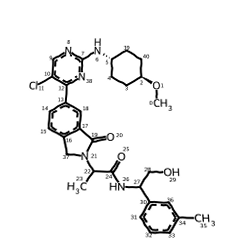 CO[C@H]1CC[C@H](Nc2ncc(Cl)c(-c3ccc4c(c3)C(=O)N(C(C)C(=O)NC(CO)c3cccc(C)c3)C4)n2)CC1